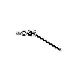 CCC(C)N1CCN(c2ccc(C(=O)NCCCCCCCCCCCCCCCCBr)cn2)CC1